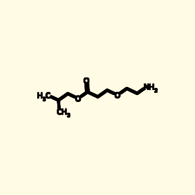 CC(C)COC(=O)CCOCCN